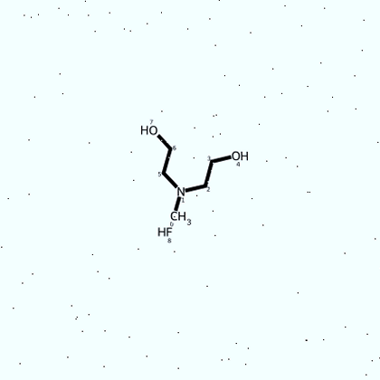 CN(CCO)CCO.F